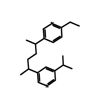 CCc1ccc(C(C)CCC(C)c2cncc(C(C)C)c2)cn1